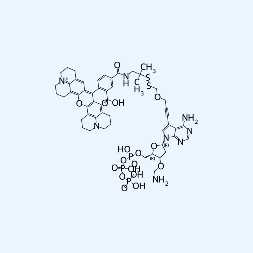 CC(C)(CNC(=O)c1ccc(C2=c3cc4c5c(c3Oc3c2cc2c6c3CCCN6CCC2)CCC[N+]=5CCC4)c(C(=O)O)c1)SSCOCC#Cc1cn([C@H]2CC(OCN)[C@@H](COP(=O)(O)OP(=O)(O)OP(=O)(O)O)O2)c2ncnc(N)c12